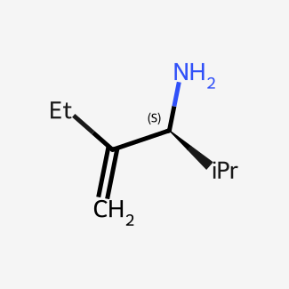 C=C(CC)[C@@H](N)C(C)C